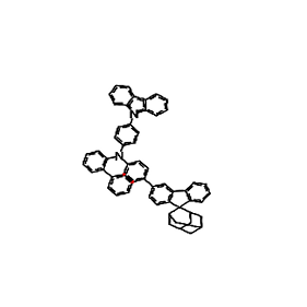 c1ccc(-c2ccccc2N(c2ccc(-c3ccc4c(c3)-c3ccccc3C43C4CC5CC(C4)CC3C5)cc2)c2ccc(-n3c4ccccc4c4ccccc43)cc2)cc1